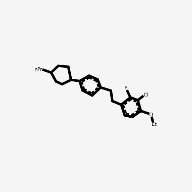 CCCC1CCC(c2ccc(CCc3ccc(OCC)c(Cl)c3F)cc2)CC1